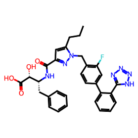 CCCc1cc(C(=O)N[C@H](Cc2ccccc2)[C@@H](O)C(=O)O)nn1Cc1ccc(-c2ccccc2-c2nnn[nH]2)cc1F